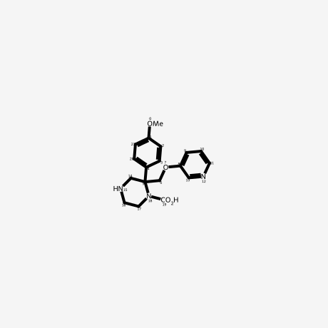 COc1ccc(C2(COc3cccnc3)CNCCN2C(=O)O)cc1